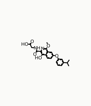 COc1nc(C(=O)NCC(=O)O)c(O)c2ccc(Oc3cccc(C(C)C)c3)cc12